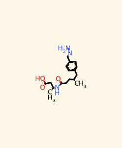 CC(CCC(=O)NC(C)CC(=O)O)Cc1ccc(C=NN)cc1